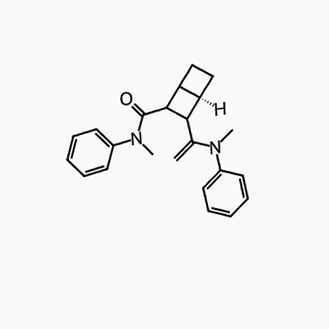 C=C(C1C(C(=O)N(C)c2ccccc2)C2CC[C@H]21)N(C)c1ccccc1